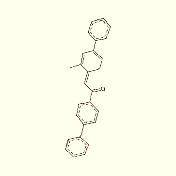 CC1=CC(c2ccccc2)=CCC1=CC(=O)c1ccc(-c2ccccc2)cc1